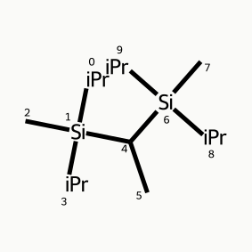 CC(C)[Si](C)(C(C)C)C(C)[Si](C)(C(C)C)C(C)C